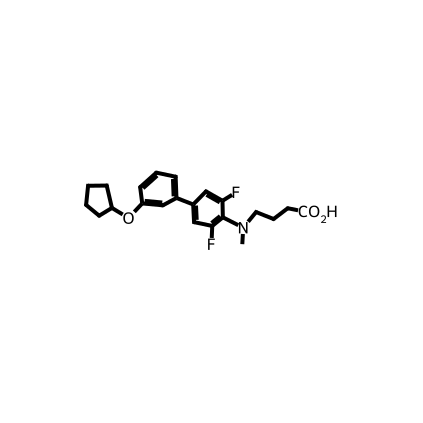 CN(CCCC(=O)O)c1c(F)cc(-c2cccc(OC3CCCC3)c2)cc1F